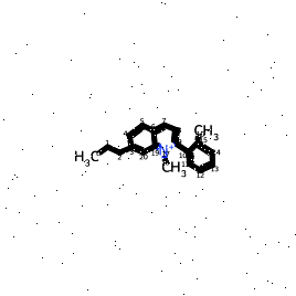 CCCc1ccc2ccc(-c3ccccc3C)[n+](C)c2c1